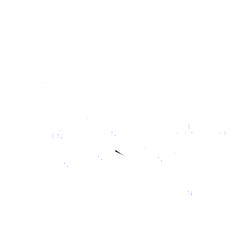 CC(C)(C)/C=C(/C#N)C(=O)N1CCC[C@@H](c2nc(-c3ccc(Oc4ccccc4)cc3F)c3c(N)nccn23)C1